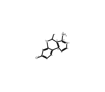 CC1Oc2cc(Cl)ccc2-c2ccnc(N)c21